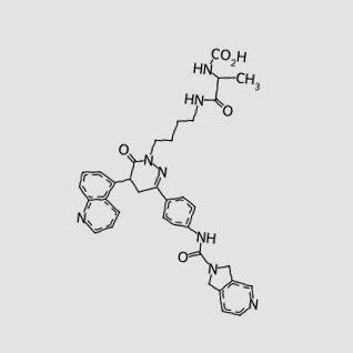 CC(NC(=O)O)C(=O)NCCCCN1N=C(c2ccc(NC(=O)N3Cc4ccncc4C3)cc2)CC(c2cccc3ncccc23)C1=O